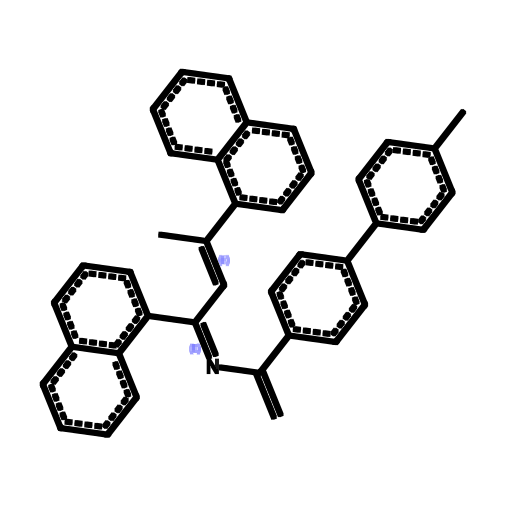 C=C(/N=C(\C=C(/C)c1cccc2ccccc12)c1cccc2ccccc12)c1ccc(-c2ccc(C)cc2)cc1